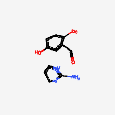 Nc1ncccn1.O=Cc1cc(O)ccc1O